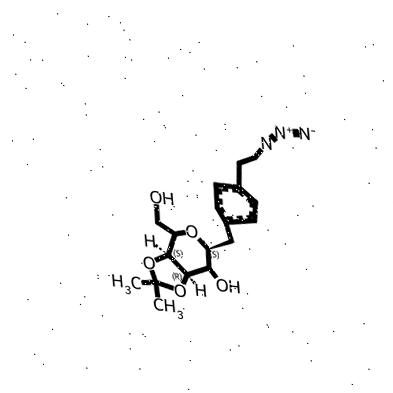 CC1(C)O[C@@H]2C(O)[C@H](Cc3ccc(CCN=[N+]=[N-])cc3)OC(CO)[C@@H]2O1